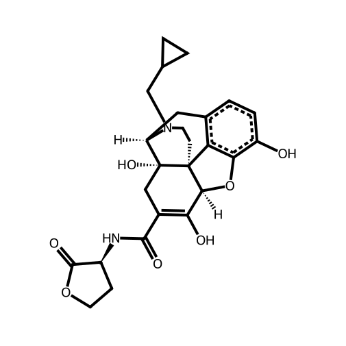 O=C(N[C@H]1CCOC1=O)C1=C(O)[C@@H]2Oc3c(O)ccc4c3[C@@]23CCN(CC2CC2)[C@H](C4)[C@]3(O)C1